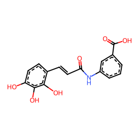 O=C(/C=C/c1ccc(O)c(O)c1O)Nc1cccc(C(=O)O)c1